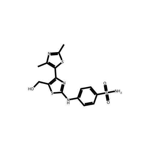 Cc1nc(C)c(-c2nc(Nc3ccc(S(N)(=O)=O)cc3)sc2CO)s1